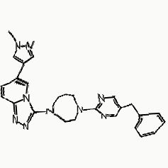 Cn1cc(-c2ccc3nnc(N4CCN(c5ncc(Cc6ccccc6)cn5)CC4)n3c2)cn1